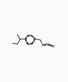 CCC(C)c1ccc(CN=[N+]=[N-])cc1